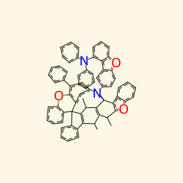 CC1C2=C3C(C)C4=C1C(C)c1oc5ccccc5c1C4(C)N(c1ccc4oc5cccc(N(c6ccccc6)c6ccccc6)c5c4c1)c1cc(-c4ccccc4)c4c(c1)C3(c1ccccc1O4)c1ccccc12